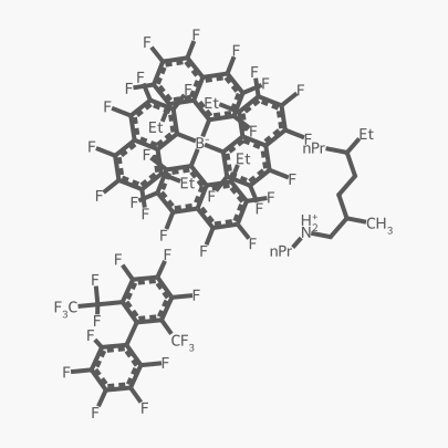 CCC[NH2+]CC(C)CCC(CC)CCC.CCc1c(F)c(F)c(F)c2c(F)c(F)c(F)c([B-](c3c(F)c(F)c(F)c4c(F)c(F)c(F)c(CC)c34)(c3c(F)c(F)c(F)c4c(F)c(F)c(F)c(CC)c34)c3c(F)c(F)c(F)c4c(F)c(F)c(F)c(CC)c34)c12.Fc1c(F)c(F)c(-c2c(C(F)(F)F)c(F)c(F)c(F)c2C(F)(F)C(F)(F)F)c(F)c1F